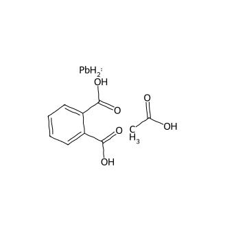 CC(=O)O.O=C(O)c1ccccc1C(=O)O.[PbH2]